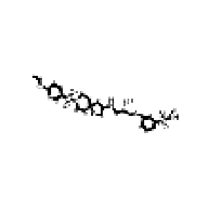 CCOc1ccc(S(=O)(=O)N2CCC3(CC2)CC(NC[C@H](O)COc2cccc(S(=O)(=O)NC)c2)CO3)cn1